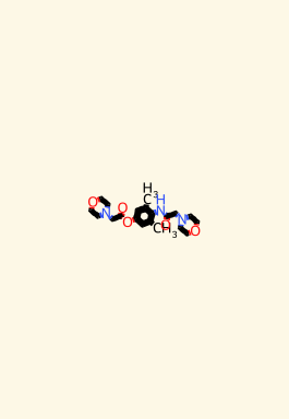 Cc1cc(OC(=O)CN2CCOCC2)cc(C)c1NC(=O)CN1CCOCC1